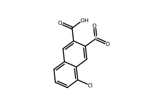 O=C(O)c1cc2cccc(Cl)c2cc1I(=O)=O